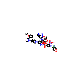 CC(C)Oc1ccccc1[C@@H]1COCCN1C1CC2(CCN(c3ccc(C(=O)NS(=O)(=O)c4ccc(NCC5(F)CCOCC5)c([N+](=O)[O-])c4)c(N4c5cc6cc[nH]c6nc5O[C@H]5COCC[C@@H]54)c3)CC2)C1